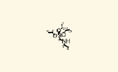 CCNC[Si](OCC)(OCC)OCC